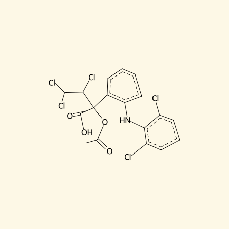 CC(=O)OC(C(=O)O)(c1ccccc1Nc1c(Cl)cccc1Cl)C(Cl)C(Cl)Cl